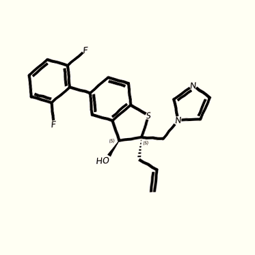 C=CC[C@@]1(Cn2ccnc2)Sc2ccc(-c3c(F)cccc3F)cc2[C@@H]1O